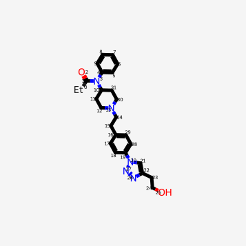 CCC(=O)N(c1ccccc1)C1CCN(CCc2ccc(-n3cc(CCO)nn3)cc2)CC1